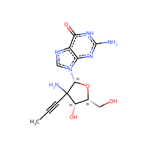 CC#CC1(N)[C@@H](O)[C@@H](CO)O[C@H]1n1cnc2c(=O)[nH]c(N)nc21